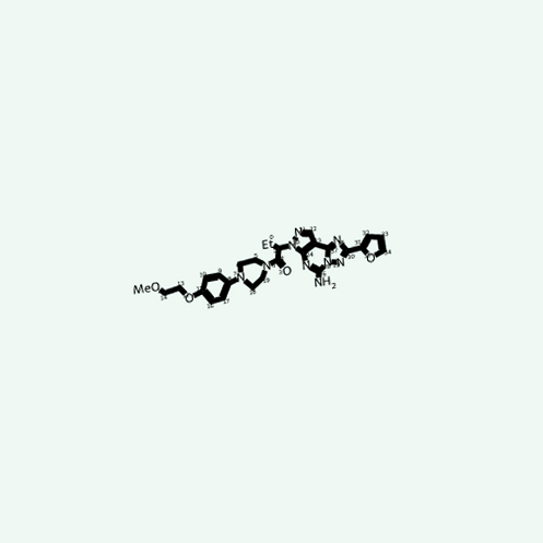 CCC(C(=O)N1CCN(c2ccc(OCCOC)cc2)CC1)n1ncc2c1nc(N)n1nc(-c3ccco3)nc21